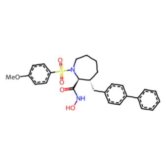 COc1ccc(S(=O)(=O)N2CCCC[C@H](Cc3ccc(-c4ccccc4)cc3)[C@H]2C(=O)NO)cc1